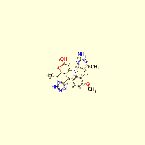 CCCCC(CC(=O)O)Nc1nc(N)nc(C)c1Cc1cc(Cc2nn[nH]n2)ccc1OC